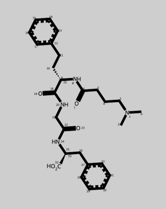 CN(C)CCCC(=O)N[C@@H](CCc1ccccc1)C(=O)NCC(=O)N[C@@H](Cc1ccccc1)C(=O)O